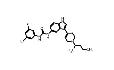 CCCC(C)N1CC=C(c2c[nH]c3ccc(NC(=O)Nc4cc(F)cc(Cl)c4)cc23)CC1